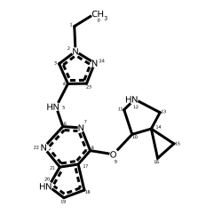 CCn1cc(Nc2nc(OC3CNCC34CC4)c3cc[nH]c3n2)cn1